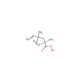 C=CC(C)(C)CC(C)(C)C(=O)OO